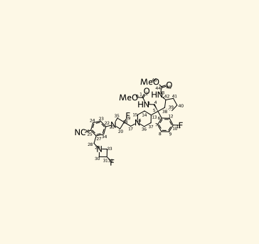 COC(=O)NC[C@@](c1cccc(F)c1)(C1CCN(CC2(F)CN(c3ccc(C#N)c(CN4CC(F)C4)c3)C2)CC1)[C@H]1CCC[C@@H]1NC(=O)OC